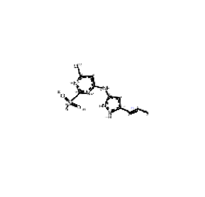 C/C=C/c1cc(Nc2cc(Cl)nc(S(C)(=O)=O)n2)n[nH]1